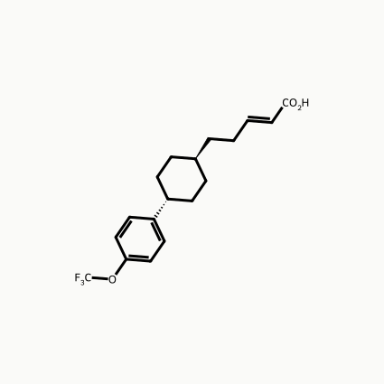 O=C(O)/C=C/CC[C@H]1CC[C@H](c2ccc(OC(F)(F)F)cc2)CC1